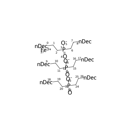 CCCCCCCCCCCCP(=O)([O-])CCCCCCCCCCCC.CCCCCCCCCCCCP(=O)([O-])CCCCCCCCCCCC.CCCCCCCCCCCCP(=O)([O-])CCCCCCCCCCCC.[Fe+3]